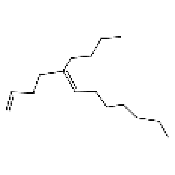 C=CCCC(=CCCCCCC)CCCC